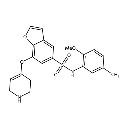 COc1ccc(C)cc1NS(=O)(=O)c1cc(OC2=CCNCC2)c2occc2c1